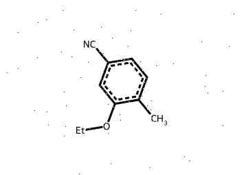 CCOc1cc(C#N)ccc1C